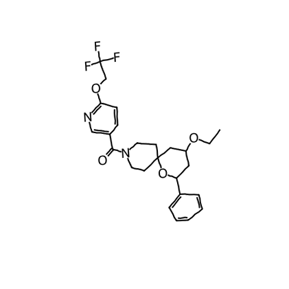 CCOC1CC(c2ccccc2)OC2(CCN(C(=O)c3ccc(OCC(F)(F)F)nc3)CC2)C1